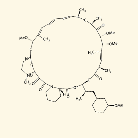 CO[C@H]1CCC[C@@H](C[C@@H](C)[C@@H]2CC(=O)[C@H](C)/C=C(\C)[C@@H](OC)[C@@H](OC)C(=O)[C@H](C)C[C@H](C)/C=C/C=C/C=C(\C)[C@@H](OC)C[C@@H]3CC[C@@H](C)[C@@](O)(O3)C(=O)C(=O)N3CCCC[C@H]3C(=O)O2)C1